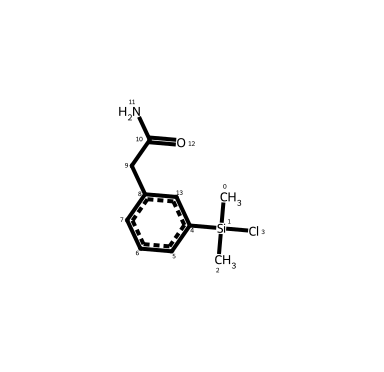 C[Si](C)(Cl)c1cccc(CC(N)=O)c1